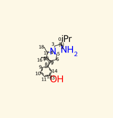 CC(C)[C@H](N)CN1CC[C@@H](c2cccc(O)c2)[C@@H](C)C1C